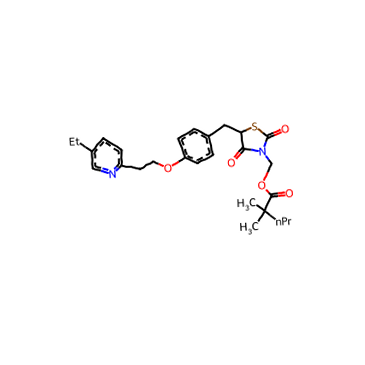 CCCC(C)(C)C(=O)OCN1C(=O)SC(Cc2ccc(OCCc3ccc(CC)cn3)cc2)C1=O